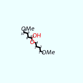 COCCCCOC(O)CCCOC